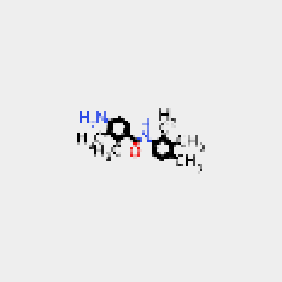 Cc1ccc(NC(=O)c2ccc(N)c(C)c2C)c(C)c1C